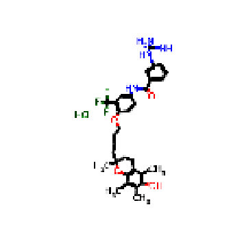 Cc1c(C)c2c(c(C)c1O)CCC(C)(CCCCOc1ccc(NC(=O)c3cccc(NC(=N)N)c3)cc1C(F)(F)F)O2.Cl